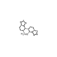 Cc1ccc2nsnc2c1-c1ccc2snnc2c1S